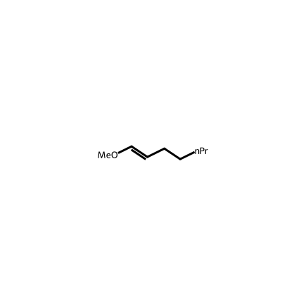 [CH2]O/C=C/CCCCC